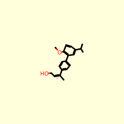 COc1ccc(C(C)C)cc1-c1ccc(/C(C)=C\CO)cc1